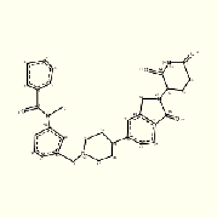 CN(C(=O)c1ccccc1)c1cccc(CN2CCC(c3ccc4c(c3)CN(C3CCC(=O)NC3=O)C4=O)CC2)c1